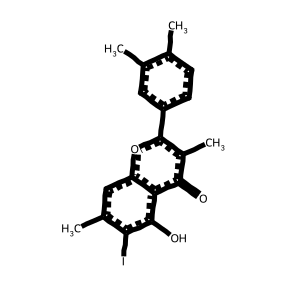 Cc1ccc(-c2oc3cc(C)c(I)c(O)c3c(=O)c2C)cc1C